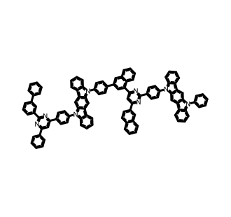 c1ccc(-c2cccc(-c3nc(-c4ccccc4)cc(-c4ccc(-n5c6ccccc6c6cc7c(cc65)c5ccccc5n7-c5ccc(-c6cc(-c7cc(-c8ccc9ccccc9c8)nc(-c8ccc(-n9c%10ccccc%10c%10cc%11c(cc%109)c9ccccc9n%11-c9ccccc9)cc8)n7)c7ccccc7c6)cc5)cc4)n3)c2)cc1